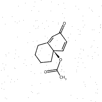 CC(=O)O[C@]12C=CC(=O)C=C1CCCC2